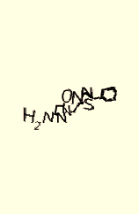 NC1=NN(Cc2nnc(-c3ccccc3)s2)C(=O)C1